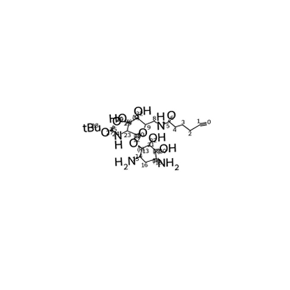 C#CCCCC(=O)NCC1O[C@H](O[C@@H]2C(N)C[C@@H](N)[C@@H](O)C2O)C(NC(=O)OC(C)(C)C)[C@@H](O)[C@@H]1O